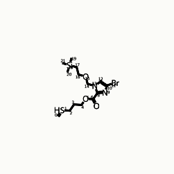 C=[SH]CCCOC(=O)c1nc(Br)cn1COCC[Si](C)(C)C